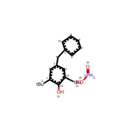 CC(C)(C)c1cc(Cc2ccccc2)cc(C(C)(C)C)c1O.O=[PH2]O